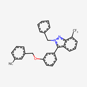 N#Cc1cccc(COc2cccc(-c3c4cccc(C(F)(F)F)c4nn3Cc3ccccc3)c2)c1